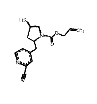 C=CCOC(=O)N1CC(S)CC1Cc1ccnc(C#N)c1